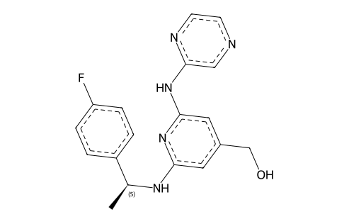 C[C@H](Nc1cc(CO)cc(Nc2cnccn2)n1)c1ccc(F)cc1